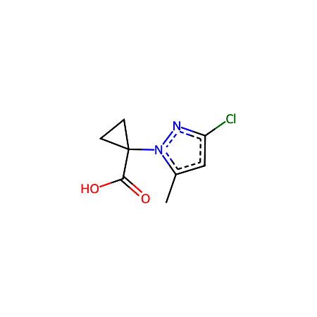 Cc1cc(Cl)nn1C1(C(=O)O)CC1